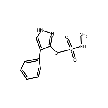 NNS(=O)(=O)Oc1n[nH]cc1-c1ccccc1